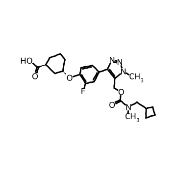 CN(CC1CCC1)C(=O)OCc1c(-c2ccc(O[C@H]3CCC[C@H](C(=O)O)C3)c(F)c2)nnn1C